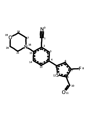 N#Cc1cc(-c2cc(F)c(C=O)s2)ccc1N1CCOCC1